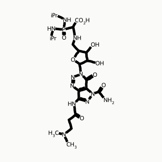 CC(C)NP(=O)(NC(C)C)C(NCC1OC(n2nnc3c(NC(=O)CCN(C)C)nn(C(N)=O)c3c2=O)C(O)C1O)C(=O)O